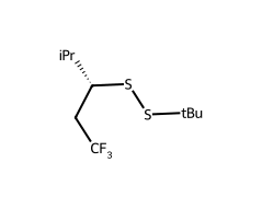 CC(C)[C@@H](CC(F)(F)F)SSC(C)(C)C